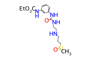 CCOC(=O)Nc1cccc(NC(=O)NCCNCCC[S+](C)[O-])c1